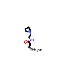 CCCCCCC/C=C/C(=O)NCCN1CCCC1